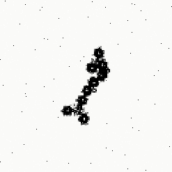 c1ccc(-c2nc(-c3ccccc3)nc(-c3ccc(-c4ccc5c(c4)sc4cc(-c6ccc7oc8ccc9c(-c%10ccccc%10)nc%10ccccc%10c9c8c7c6)ccc45)cc3)n2)cc1